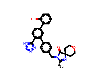 CCCCC1=NC2(CCOCC2)C(=O)N1Cc1ccc(-c2cc(-c3ccccc3O)ccc2-c2nnn[nH]2)cc1